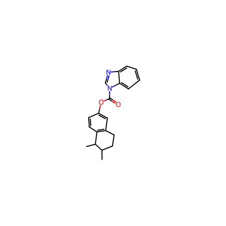 CC1CCc2cc(OC(=O)n3cnc4ccccc43)ccc2C1C